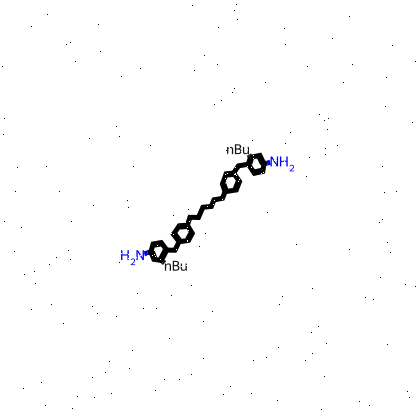 CCCCc1cc(N)ccc1Cc1ccc(CCCCCCc2ccc(Cc3ccc(N)cc3CCCC)cc2)cc1